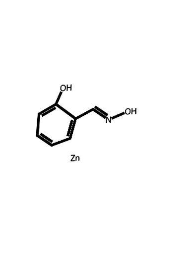 ON=Cc1ccccc1O.[Zn]